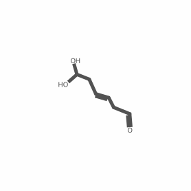 O=CCC=CCC(O)O